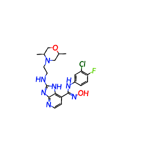 CC1CN(CCNc2nc3nccc(/C(=N/O)Nc4ccc(F)c(Cl)c4)c3[nH]2)C(C)CO1